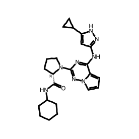 O=C(NC1CCCCC1)[C@@H]1CCCN1c1nc(Nc2cc(C3CC3)[nH]n2)c2cccn2n1